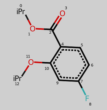 CC(C)OC(=O)c1ccc(F)cc1OC(C)C